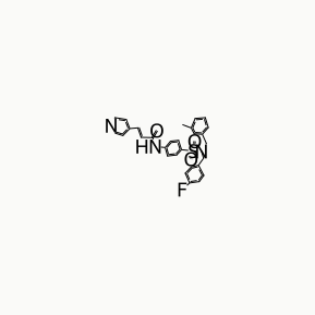 Cc1cccc(CN(Cc2ccc(F)cc2)S(=O)(=O)c2ccc(NC(=O)/C=C/c3ccncc3)cc2)c1